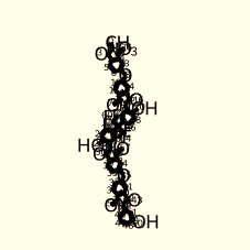 CN1C(=O)c2ccc(Oc3ccc4c(c3)C(=O)N(c3cc(C(c5ccc(O)c(N6C(=O)c7ccc(Oc8ccc9c(c8)C(=O)N(c8cccc(O)c8)C9=O)cc7C6=O)c5)(C(F)(F)F)C(F)(F)F)ccc3O)C4=O)cc2C1=O